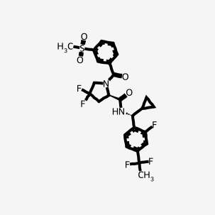 CC(F)(F)c1ccc([C@H](NC(=O)[C@H]2CC(F)(F)CN2C(=O)c2cccc(S(C)(=O)=O)c2)C2CC2)c(F)c1